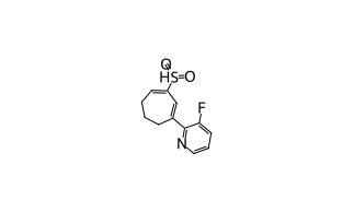 O=[SH](=O)C1=CCCCC(c2ncccc2F)=C1